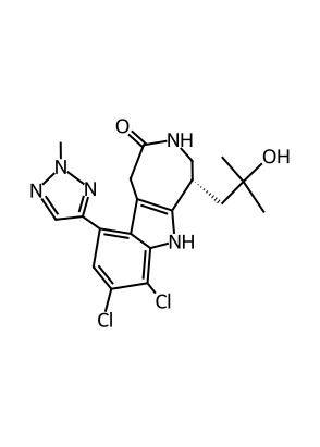 Cn1ncc(-c2cc(Cl)c(Cl)c3[nH]c4c(c23)CC(=O)NC[C@@H]4CC(C)(C)O)n1